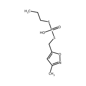 CCCSP(=O)(O)SCc1cc(C)no1